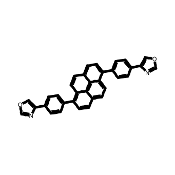 c1nc(-c2ccc(-c3ccc4ccc5c(-c6ccc(-c7cocn7)cc6)ccc6ccc3c4c65)cc2)co1